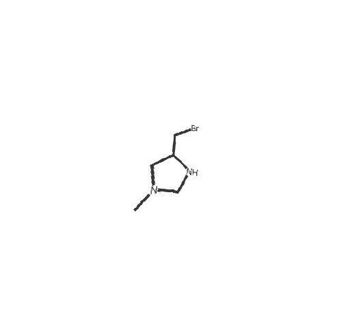 CN1CNC(CBr)C1